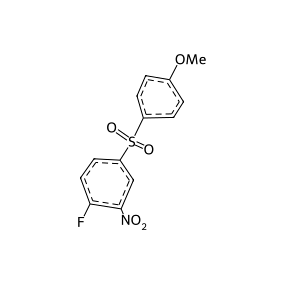 COc1ccc(S(=O)(=O)c2ccc(F)c([N+](=O)[O-])c2)cc1